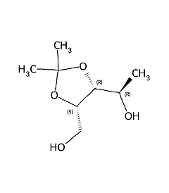 C[C@@H](O)[C@H]1OC(C)(C)O[C@H]1CO